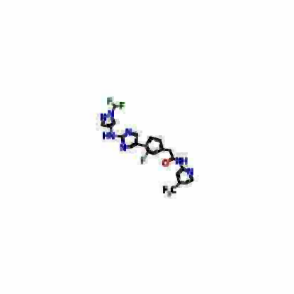 O=C(Cc1ccc(-c2cnc(Nc3cnn(C(F)F)c3)nc2)c(F)c1)Nc1cc(C(F)(F)F)ccn1